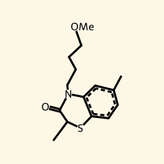 COCCCCN1C(=O)C(C)Sc2ccc(C)cc21